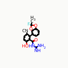 CC1(F)Oc2cccc(-c3c(C#N)ccc(O)c3C(=O)NC(=N)N)c2O1